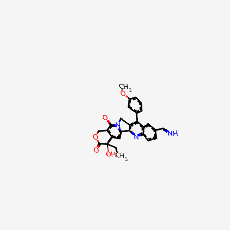 CCC1(O)C(=O)OCc2c1cc1n(c2=O)Cc2c-1nc1ccc(C=N)cc1c2-c1cccc(OC)c1